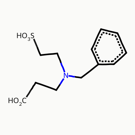 O=C(O)CCN(CCS(=O)(=O)O)Cc1ccccc1